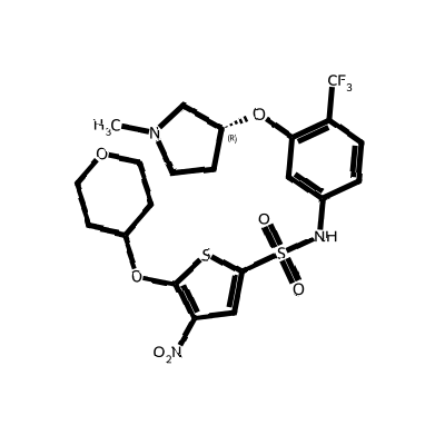 CN1CC[C@@H](Oc2cc(NS(=O)(=O)c3cc([N+](=O)[O-])c(OC4CCOCC4)s3)ccc2C(F)(F)F)C1